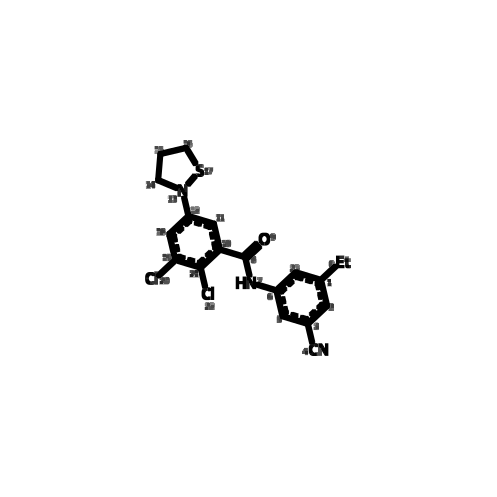 CCc1cc(C#N)cc(NC(=O)c2cc(N3CCCS3)cc(Cl)c2Cl)c1